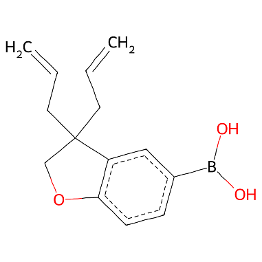 C=CCC1(CC=C)COc2ccc(B(O)O)cc21